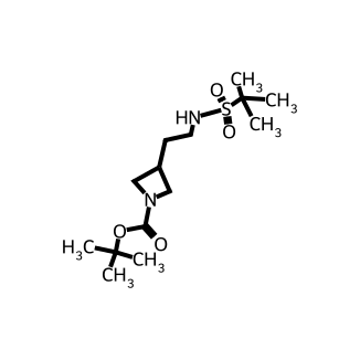 CC(C)(C)OC(=O)N1CC(CCNS(=O)(=O)C(C)(C)C)C1